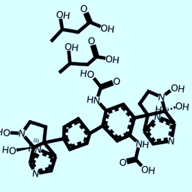 CC(O)CC(=O)O.CC(O)CC(=O)O.O=C(O)Nc1cc(C23CCN(O)[C@@]2(O)c2ncc3[nH]2)c(NC(=O)O)cc1-c1ccc(C23CCN(O)[C@@]2(O)c2ncc3[nH]2)cc1